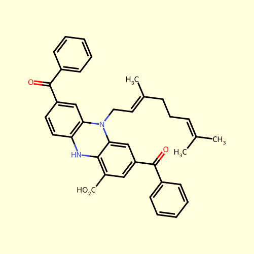 CC(C)=CCC/C(C)=C/CN1c2cc(C(=O)c3ccccc3)ccc2Nc2c(C(=O)O)cc(C(=O)c3ccccc3)cc21